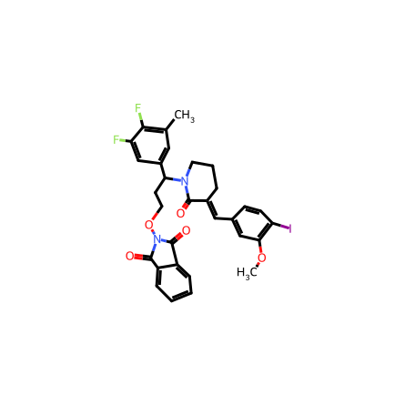 COc1cc(/C=C2\CCCN(C(CCON3C(=O)c4ccccc4C3=O)c3cc(C)c(F)c(F)c3)C2=O)ccc1I